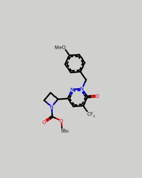 COc1ccc(Cn2nc(C3CCN3C(=O)OC(C)(C)C)cc(C(F)(F)F)c2=O)cc1